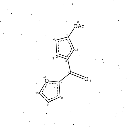 CC(=O)Oc1csc(C(=O)c2ccco2)c1